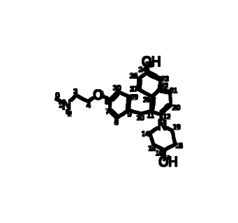 CN(C)CCOc1ccc(Cc2c(N3CCC(O)CC3)ccc3cc(O)ccc23)cc1